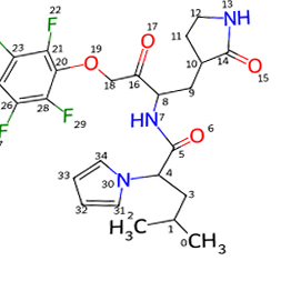 CC(C)CC(C(=O)NC(CC1CCNC1=O)C(=O)COc1c(F)c(F)cc(F)c1F)n1cccc1